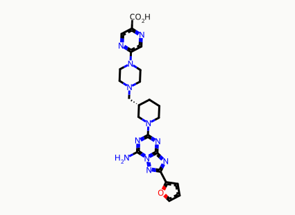 Nc1nc(N2CCC[C@@H](CN3CCN(c4cnc(C(=O)O)cn4)CC3)C2)nc2nc(-c3ccco3)nn12